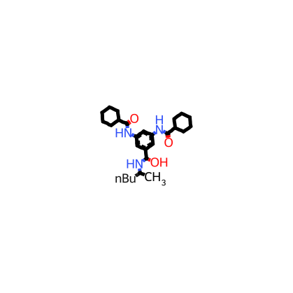 CCCCC(C)NC(O)c1cc(NC(=O)C2CCCCC2)cc(NC(=O)C2CCCCC2)c1